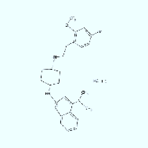 CN(C)c1cc(N[C@H]2CC[C@@H](NCCc3ccc(Br)cc3OC(F)(F)F)CC2)nc2ccccc12.Cl.Cl